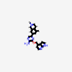 Cc1cc(-c2cnc(N)c(OCc3ccnc4[nH]ccc34)n2)cc2c1CCN(C)C2